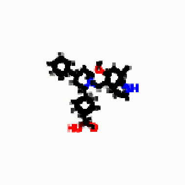 COc1cc(C)c2[nH]ccc2c1CN1CCC(c2ccccc2)C[C@@H]1c1ccc(C(=O)O)cc1